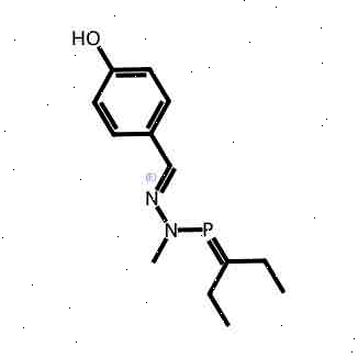 CCC(CC)=PN(C)/N=C/c1ccc(O)cc1